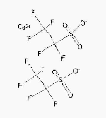 O=S(=O)([O-])C(F)(F)C(F)(F)F.O=S(=O)([O-])C(F)(F)C(F)(F)F.[Ca+2]